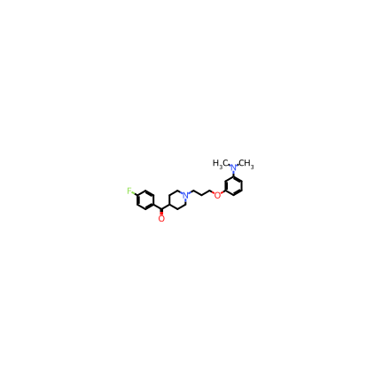 CN(C)c1cccc(OCCCN2CCC(C(=O)c3ccc(F)cc3)CC2)c1